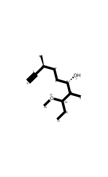 C#C[C@@H](C)CC[C@H](O)C(C)C(CC)OC